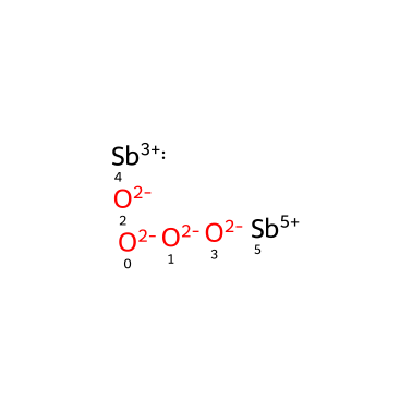 [O-2].[O-2].[O-2].[O-2].[Sb+3].[Sb+5]